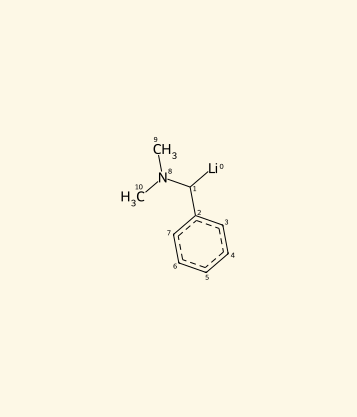 [Li][CH](c1ccccc1)N(C)C